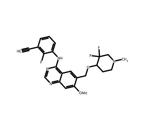 C#Cc1cccc(Nc2ncnc3cc(OC)c(COC4CCN(C)CC4(F)F)cc23)c1F